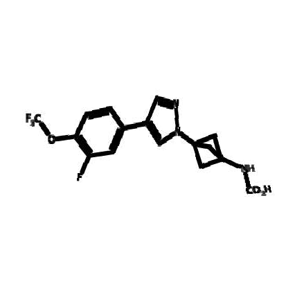 O=C(O)NC12CC(n3cc(-c4ccc(OC(F)(F)F)c(F)c4)cn3)(C1)C2